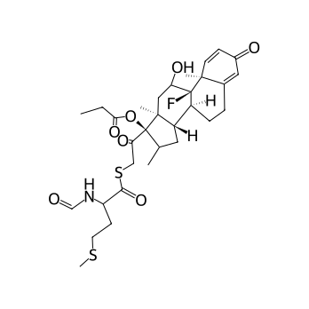 CCC(=O)O[C@]1(C(=O)CSC(=O)C(CCSC)NC=O)C(C)C[C@H]2[C@@H]3CCC4=CC(=O)C=C[C@]4(C)[C@@]3(F)C(O)C[C@@]21C